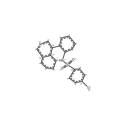 O=S(=O)(Nc1ccccc1-c1cncc2ccccc12)c1ccc(Cl)cc1